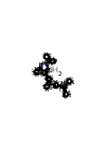 C=C1/C=C(n2c3ccccc3c3ccccc32)\C=C/CN(c2ccccc2)c2ccc(-c3ccc4c(c3)c3ccccc3n4-c3ccc(-c4nc(-c5ccccc5)cc(-c5ccccc5)n4)cc3)cc21